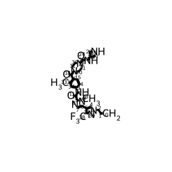 C=CCn1cc(-c2cnc(C(=O)Nc3ccc(C(=O)N4CCN(C(=O)NC5CNC5)CC4)c(C)c3)n2C)c(C(F)(F)F)n1